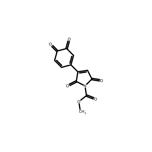 COC(=O)N1C(=O)C=C(C2=CC(=O)C(=O)C=C2)C1=O